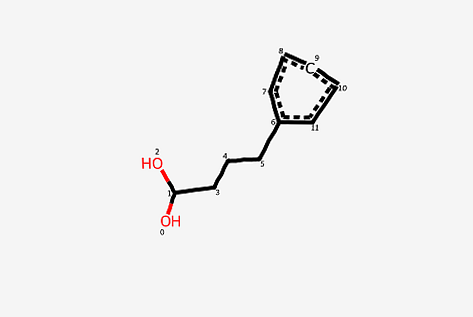 OC(O)CCCc1ccccc1